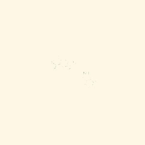 O=c1[nH]ccc2cc(O[C@H]3CC[C@@H](NCc4ccccc4)CC3)c(Cl)cc12